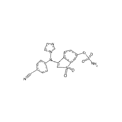 N#Cc1ccc(N(C2=CS(=O)(=O)c3cc(OS(N)(=O)=O)ccc32)n2ccnc2)cc1